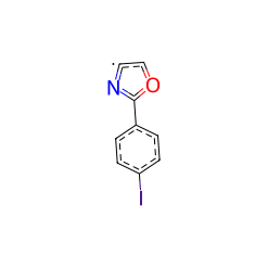 Ic1ccc(-c2n[c]co2)cc1